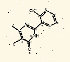 Cc1nc(-c2ccccc2Cl)[nH]c(=O)c1C